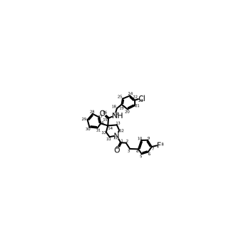 O=C(CCc1ccc(F)cc1)N1CCC(C(=O)NCc2ccc(Cl)cc2)(c2ccccc2)CC1